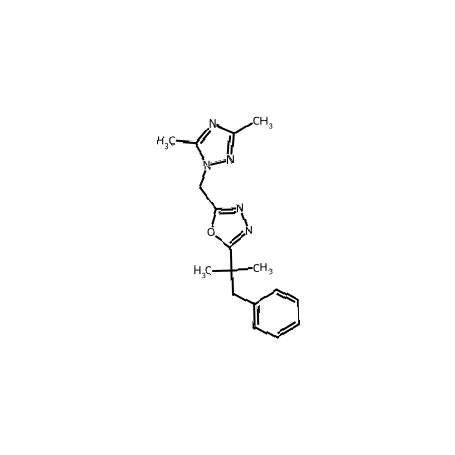 Cc1nc(C)n(Cc2nnc(C(C)(C)Cc3ccccc3)o2)n1